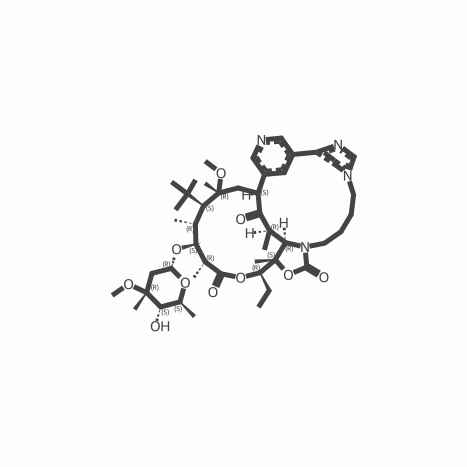 CC[C@H]1OC(=O)[C@H](C)[C@@H](O[C@H]2C[C@@](C)(OC)[C@@H](O)[C@H](C)O2)[C@H](C)[C@@H](C(C)(C)C)[C@](C)(OC)C[C@@H]2C(=O)[C@H](C)[C@H]3N(CCCCn4cnc(c4)-c4cncc2c4)C(=O)O[C@]13C